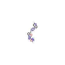 Cc1ccc2c(N3CCN(CCc4cccc5c4OCc4c(-c6nnc(C)o6)ncn4-5)CC3)cccc2n1